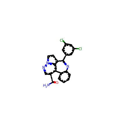 NC(=O)c1cnn2ccc3c2c1-c1ccccc1N=C3c1cc(Cl)cc(Cl)c1